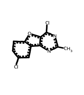 Cc1nc(Cl)c2oc3ccc(Cl)cc3c2n1